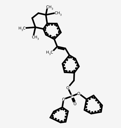 CC(=Cc1ccc(COP(=O)(Oc2ccccc2)Oc2ccccc2)cc1)c1ccc2c(c1)C(C)(C)CCC2(C)C